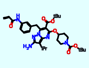 C=CC(=O)Nc1cccc(Cc2c(C(=O)OC(C)(C)C)c(OC3CCN(C(=O)OC(C)(C)C)CC3)nc3c(C(C)C)c(N)nn23)c1